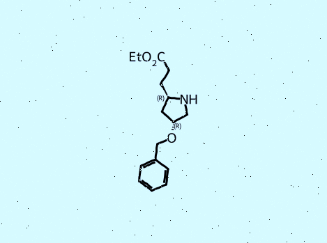 CCOC(=O)CC[C@@H]1C[C@@H](OCc2ccccc2)CN1